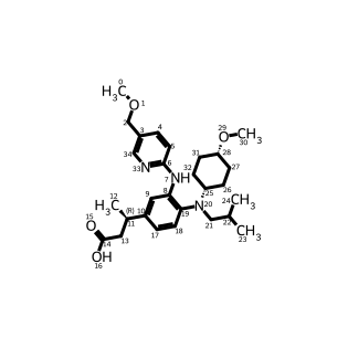 COCc1ccc(Nc2cc([C@H](C)CC(=O)O)ccc2N(CC(C)C)[C@H]2CC[C@@H](OC)CC2)nc1